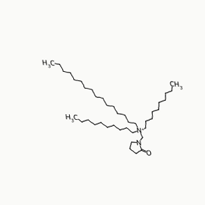 CCCCCCCCCCCCCCCC[N+](CCCCCCCCCC)(CCCCCCCCCC)CN1CCCC1=O